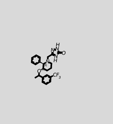 CC(O[C@@H]1CCCN(Cc2n[nH]c(=O)[nH]2)[C@@H]1c1ccccc1)c1cccc(C(F)(F)F)c1